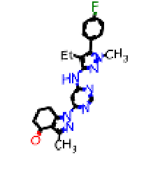 CCc1c(Nc2cc(-n3nc(C)c4c3CCCC4=O)ncn2)nn(C)c1-c1ccc(F)cc1